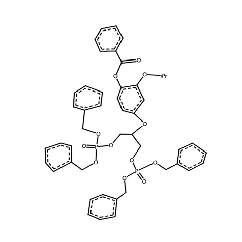 CC(C)Oc1cc(OC(COP(=O)(OCc2ccccc2)OCc2ccccc2)COP(=O)(OCc2ccccc2)OCc2ccccc2)ccc1OC(=O)c1ccccc1